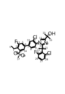 CCc1c(F)cc(-c2ccc(-n3cc(C(C)(C)O)nc3C(C)(C)c3c(F)cccc3Cl)c(Cl)c2)cc1S(C)(=O)=O